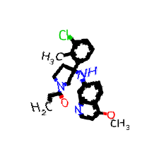 C=CC(=O)N1CCC(Nc2ccc3c(OC)ccnc3c2)(c2cccc(Cl)c2C)C1